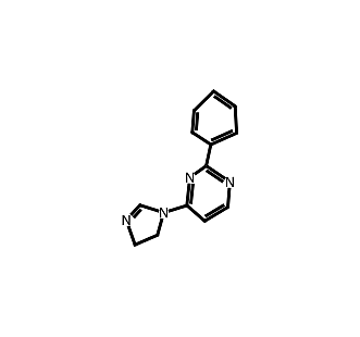 C1=NCCN1c1ccnc(-c2ccccc2)n1